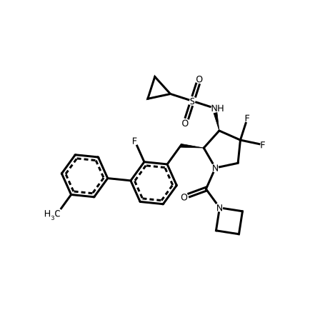 Cc1cccc(-c2cccc(C[C@H]3[C@@H](NS(=O)(=O)C4CC4)C(F)(F)CN3C(=O)N3CCC3)c2F)c1